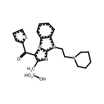 Cc1nc2n(CCN3CCCCC3)c3ccccc3n2c1C(=O)c1cccs1.O=S(=O)(O)O